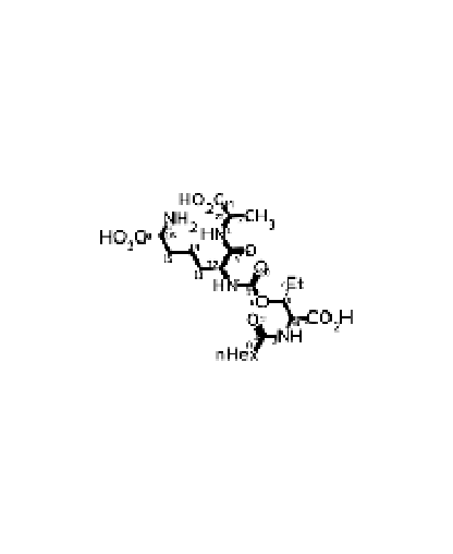 CCCCCCC(=O)N[C@H](C(=O)O)[C@@H](CC)OC(=O)N[C@@H](CCC[C@@H](N)C(=O)O)C(=O)N[C@H](C)C(=O)O